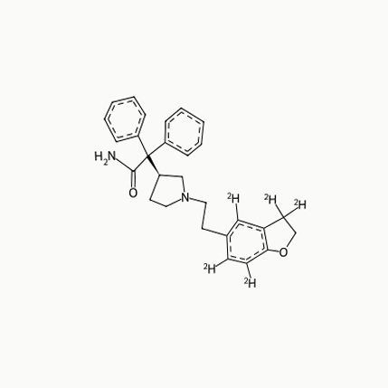 [2H]c1c([2H])c2c(c([2H])c1CCN1CC[C@@H](C(C(N)=O)(c3ccccc3)c3ccccc3)C1)C([2H])([2H])CO2